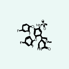 Cn1cc(-c2cc(NS(C)(=O)=O)c(Oc3ccc(F)cc3F)cc2Oc2ccc(F)cc2F)c2cc[nH]c(=O)c21